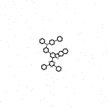 c1ccc(-c2ccc(N(c3ccccc3)c3cccc(-c4cc(-c5nc(-c6ccccc6)nc(-c6ccccc6)n5)c5oc6cc7ccccc7cc6c5c4)c3)cc2)cc1